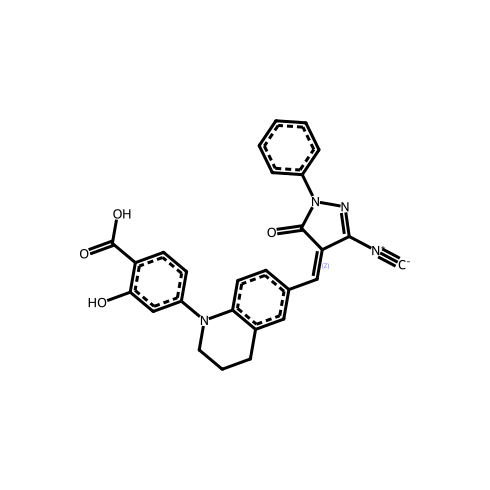 [C-]#[N+]C1=NN(c2ccccc2)C(=O)/C1=C\c1ccc2c(c1)CCCN2c1ccc(C(=O)O)c(O)c1